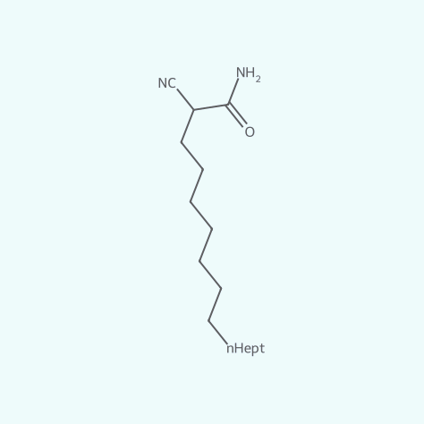 CCCCCCCCCCCCCCC(C#N)C(N)=O